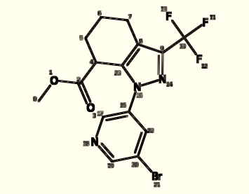 COC(=O)C1CCCc2c(C(F)(F)F)nn(-c3cncc(Br)c3)c21